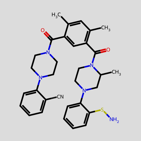 Cc1cc(C)c(C(=O)N2CCN(c3ccccc3SN)CC2C)cc1C(=O)N1CCN(c2ccccc2C#N)CC1